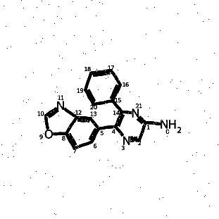 Nc1cnc(-c2ccc3ocnc3c2)c(-c2ccccc2)n1